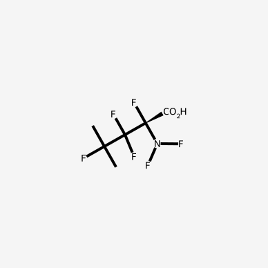 CC(C)(F)C(F)(F)[C@@](F)(C(=O)O)N(F)F